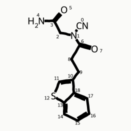 N#CN(CC(N)=O)C(=O)[CH]Cc1csc2ccccc12